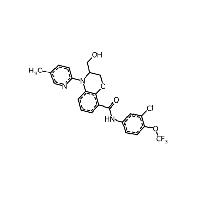 Cc1ccc(N2c3cccc(C(=O)Nc4ccc(OC(F)(F)F)c(Cl)c4)c3OCC2CO)nc1